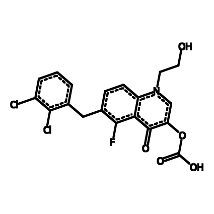 O=C(O)Oc1cn(CCO)c2ccc(Cc3cccc(Cl)c3Cl)c(F)c2c1=O